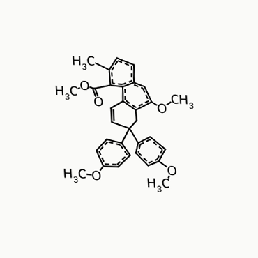 COC(=O)c1c(C)ccc2cc(OC)c3c(c12)C=CC(c1ccc(OC)cc1)(c1ccc(OC)cc1)C3